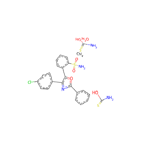 C.NC(O)=S.NC(O)=S.NS(=O)(=O)c1ccccc1-c1oc(-c2ccccc2)nc1-c1ccc(Cl)cc1.O